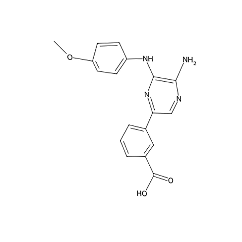 COc1ccc(Nc2nc(-c3cccc(C(=O)O)c3)cnc2N)cc1